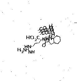 CC(=O)O.CC(=O)O.CC(=O)O.N=C(N)NCCCC(NC(=O)C1CC2CCCC[C@@H]2N1)C(=O)O